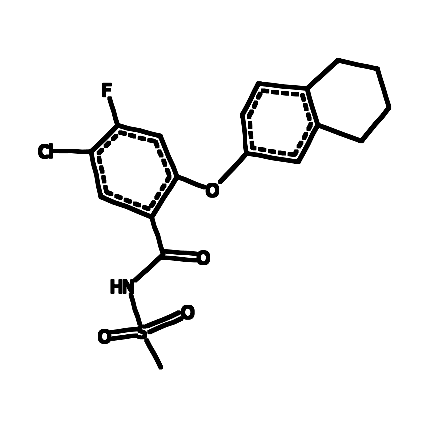 CS(=O)(=O)NC(=O)c1cc(Cl)c(F)cc1Oc1ccc2c(c1)CCCC2